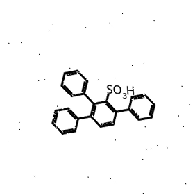 O=S(=O)(O)c1c(-c2ccccc2)ccc(-c2ccccc2)c1-c1ccccc1